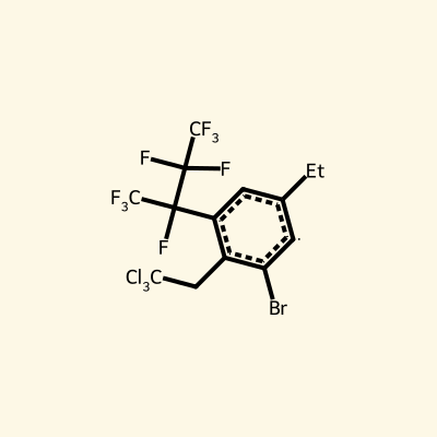 CCc1[c]c(Br)c(CC(Cl)(Cl)Cl)c(C(F)(C(F)(F)F)C(F)(F)C(F)(F)F)c1